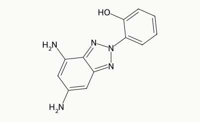 Nc1cc(N)c2nn(-c3ccccc3O)nc2c1